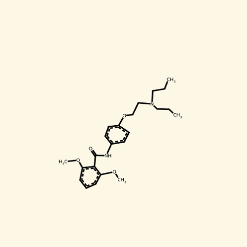 CCCN(CCC)CCOc1ccc(NC(=O)c2c(OC)cccc2OC)cc1